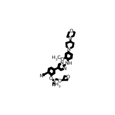 COc1cc(N2CCC(N3CCOCC3)CC2)ccc1Nc1ncc(-c2ccc(C#N)c(O[SiH](C)COC3COC3)c2)cn1